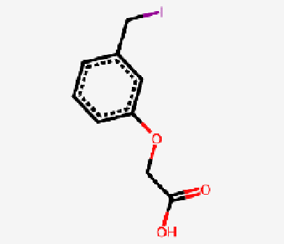 O=C(O)COc1cccc(CI)c1